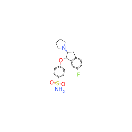 NS(=O)(=O)c1ccc(O[C@H]2c3cc(F)ccc3C[C@@H]2N2CCCC2)cc1